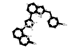 O=c1ccc2cccc(-n3cc(-c4cccc5cc(Cc6cccc(Cl)c6)[nH]c45)nn3)c2o1